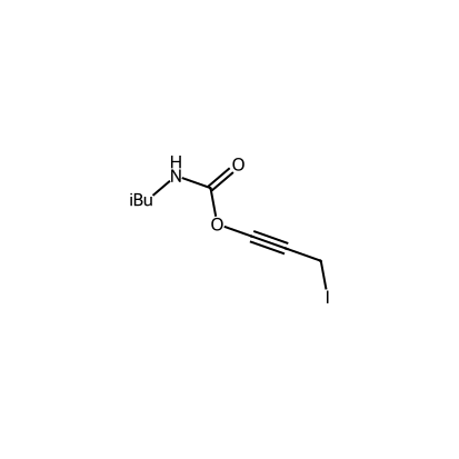 CCC(C)NC(=O)OC#CCI